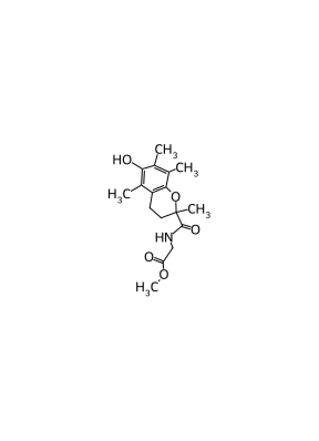 COC(=O)CNC(=O)C1(C)CCc2c(C)c(O)c(C)c(C)c2O1